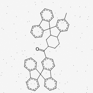 Cc1ccc2c(c1)C1(c3ccccc3-c3ccccc31)C1CC(C(=O)c3ccc4c(c3)C3(c5ccccc5-c5ccccc53)c3ccccc3-4)CCC21